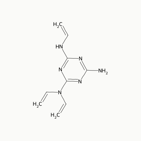 C=CNc1nc(N)nc(N(C=C)C=C)n1